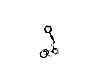 C(#Cc1ccccc1)COc1nsnc1[C@H]1CN2CCC[C@H]1C2